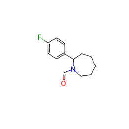 O=CN1CCCCCC1c1ccc(F)cc1